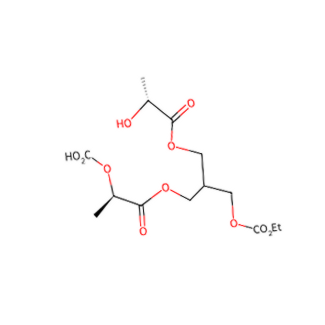 C[CH]OC(=O)OCC(COC(=O)[C@@H](C)O)COC(=O)[C@@H](C)OC(=O)O